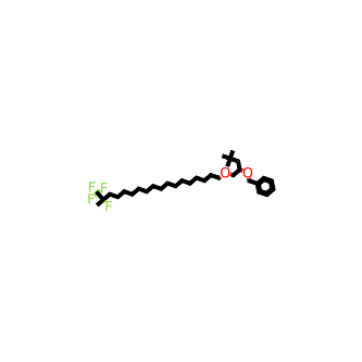 CC(C)(C)CC(COCCCCCCCCCCCCCCCCC(C)(F)C(F)(F)F)OCc1ccccc1